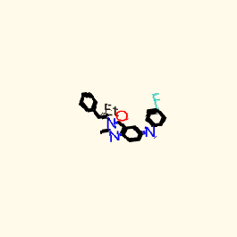 CC[C@H](Cc1ccccc1)n1c(C)nc2ccc(N(C)c3ccc(F)cc3)cc2c1=O